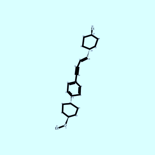 CCO[C@H]1CC[C@H](c2ccc(C#CC=C[C@H]3CC[C@H](CC)CC3)cc2)CC1